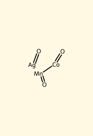 [O]=[Ag].[O]=[Mn][Co]=[O]